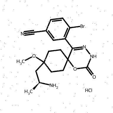 COC1(C[C@H](C)N)CCC2(CC1)OC(=O)NN=C2c1cc(C#N)ccc1Br.Cl